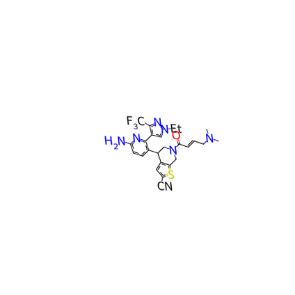 CCn1cc(-c2nc(N)ccc2C2CN(C(=O)/C=C/CN(C)C)Cc3sc(C#N)cc32)c(C(F)(F)F)n1